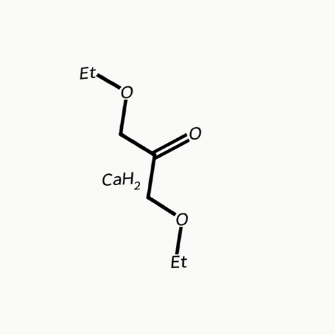 CCOCC(=O)COCC.[CaH2]